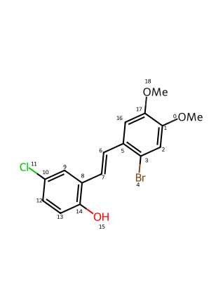 COc1cc(Br)c(/C=C/c2cc(Cl)ccc2O)cc1OC